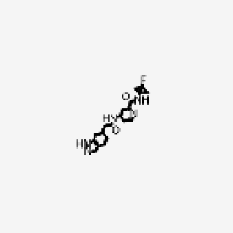 O=C(Cc1ccc2cn[nH]c2c1)Nc1ccnc(C(=O)NC23CC2(F)C3)c1